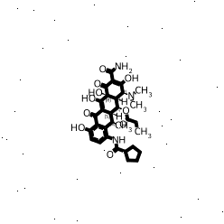 CCC(=O)O[C@@H]1[C@@H]2C(=C(O)[C@@]3(O)C(=O)C(C(N)=O)=C(O)[C@H](N(C)C)[C@@H]13)C(=O)c1c(O)ccc(NC(=O)C3CCCC3)c1[C@H]2C